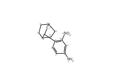 Nc1ccc(C2CN3CCC2CC3)c([N+](=O)[O-])c1